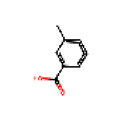 CC1=C=C=CC(C(=O)O)=C1